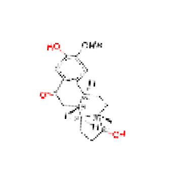 COc1cc2c(cc1O)C(=O)C[C@@H]1[C@@H]2CC[C@]2(C)[C@H](O)CC[C@@H]12